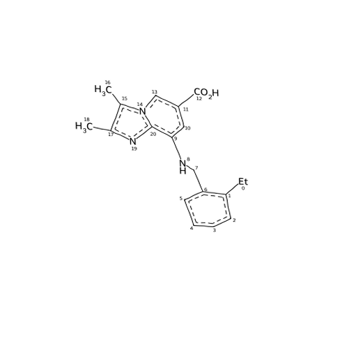 CCc1ccccc1CNc1cc(C(=O)O)cn2c(C)c(C)nc12